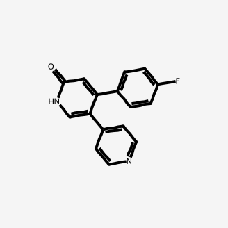 O=c1cc(-c2ccc(F)cc2)c(-c2ccncc2)c[nH]1